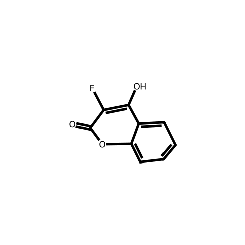 O=c1oc2ccccc2c(O)c1F